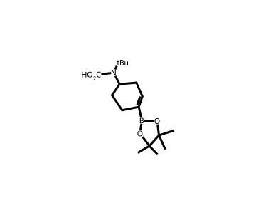 CC(C)(C)N(C(=O)O)C1CC=C(B2OC(C)(C)C(C)(C)O2)CC1